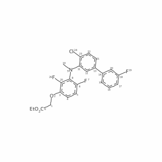 CCOC(=O)COc1ccc(F)c(N(C)c2cc(-c3cccc(F)c3)ccc2Cl)c1F